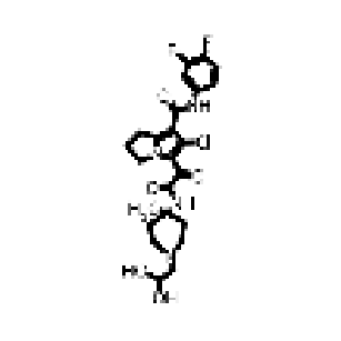 CC1(NC(=O)C(=O)c2c(Cl)c(C(=O)Nc3ccc(F)c(F)c3)c3n2CCC3)CCN(CC(O)O)CC1